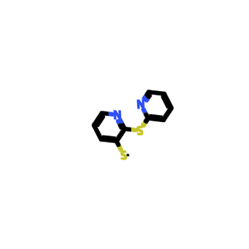 [S]c1cccnc1Sc1ccccn1